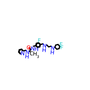 C[C@H](NCc1ccccn1)C(=O)NCc1ccc(CNCCCNC2CCC(F)(F)CC2)c(F)c1